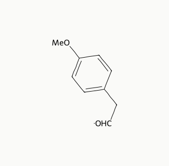 COc1ccc(C[C]=O)cc1